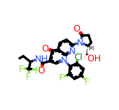 CCC(NC(=O)c1cn(-c2c(F)cc(F)cc2Cl)c2nc(N3C(=O)CC[C@@H]3CO)ccc2c1=O)C(F)(F)F